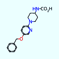 O=C(O)NC1CCN(c2ccc(OCc3ccccc3)cn2)CC1